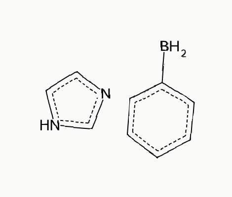 Bc1ccccc1.c1c[nH]cn1